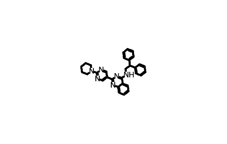 c1ccc(C(CNc2nc(-c3cnc(N4CCCCC4)nc3)nc3ccccc23)c2ccccc2)cc1